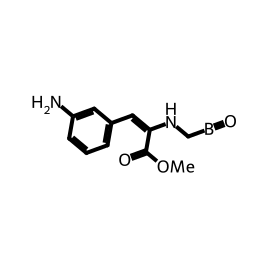 COC(=O)/C(=C\c1cccc(N)c1)NCB=O